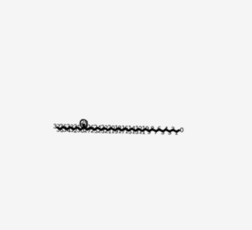 CCCCCCCCCCCCCCCCCCCCCCCCCCCCC(=O)CCCCCCCC